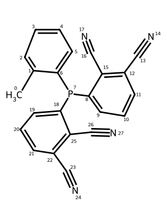 Cc1ccccc1P(c1cccc(C#N)c1C#N)c1cccc(C#N)c1C#N